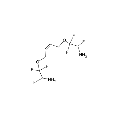 NC(F)C(F)(F)OC/C=C\COC(F)(F)C(N)F